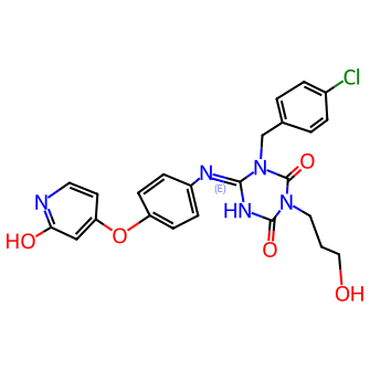 O=c1[nH]/c(=N\c2ccc(Oc3ccnc(O)c3)cc2)n(Cc2ccc(Cl)cc2)c(=O)n1CCCO